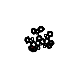 c1ccc(-c2c(N3c4cc(-n5c6ccccc6c6ccccc65)cc5c4B(c4oc6ccccc6c43)c3oc4ccccc4c3N5c3oc4ccccc4c3-c3ccccc3)oc3ccccc23)cc1